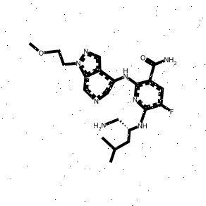 COCCn1ncc2c(Nc3nc(N[C@@H](CN)CC(C)C)c(F)cc3C(N)=O)cncc21